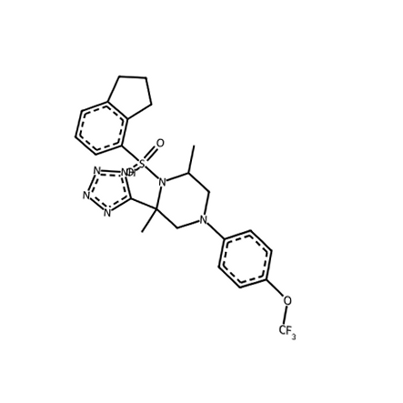 CC1CN(c2ccc(OC(F)(F)F)cc2)CC(C)(c2nnn[nH]2)N1S(=O)(=O)c1cccc2c1CCC2